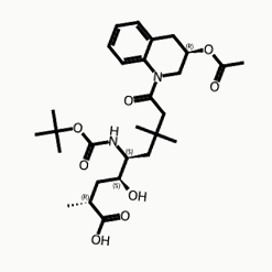 CC(=O)O[C@@H]1Cc2ccccc2N(C(=O)CC(C)(C)C[C@H](NC(=O)OC(C)(C)C)[C@@H](O)C[C@@H](C)C(=O)O)C1